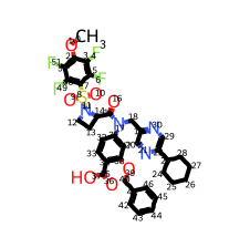 COc1c(F)c(F)c(S(=O)(=O)N2CCC2C(=O)N(Cc2cnc(C3CCCCC3)cn2)c2ccc(C(=O)O)c(OCc3ccccc3)c2)c(F)c1F